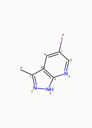 Cc1n[nH]c2ncc(I)cc12